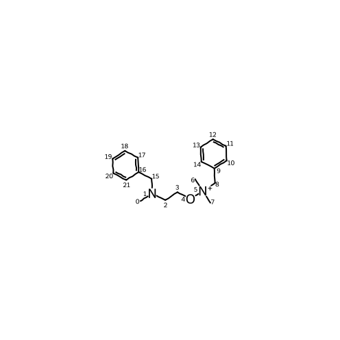 CN(CCO[N+](C)(C)Cc1ccccc1)Cc1ccccc1